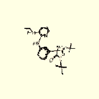 CCNc1cccnc1Nc1cccc(C(N)(C(=O)OC(C)(C)C)C(=O)OC(C)(C)C)c1